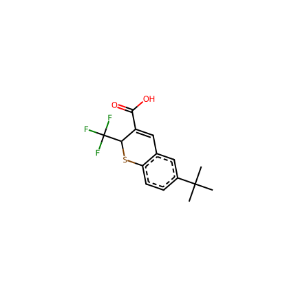 CC(C)(C)c1ccc2c(c1)C=C(C(=O)O)C(C(F)(F)F)S2